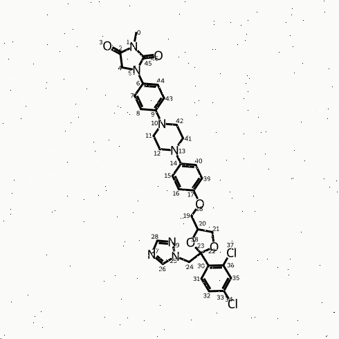 CN1C(=O)CN(c2ccc(N3CCN(c4ccc(OCC5COC(Cn6cncn6)(c6ccc(Cl)cc6Cl)O5)cc4)CC3)cc2)C1=O